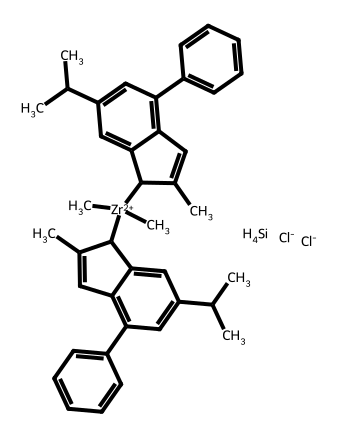 CC1=Cc2c(-c3ccccc3)cc(C(C)C)cc2[CH]1[Zr+2]([CH3])([CH3])[CH]1C(C)=Cc2c(-c3ccccc3)cc(C(C)C)cc21.[Cl-].[Cl-].[SiH4]